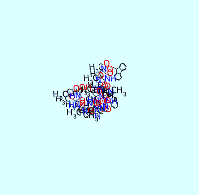 CC(C)C[C@H](NC(=O)[C@H](C)N(C)C(=O)OCC1c2ccccc2-c2ccccc21)C(=O)N(C)[C@@H](CC(C)C)C(=O)N[C@@H](C)C(=O)N(C)[C@@H](Cc1ccccc1)C(=O)NCC(=O)N(C)[C@@H](C)C(=O)N[C@@H](CC(C)C)C(=O)N(C)[C@@H](Cc1ccccc1)C(=O)N1CCC[C@H]1C(=O)N[C@@H](C)C(=O)N(C)[C@@H](CC(C)C)C(=O)N(C)[C@@H](C)C(=O)N[C@@H](COC(C)(C)C)C(=O)NCC(=O)O